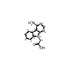 Nc1ncnc2c1c1ccccc1n2CC(=O)O